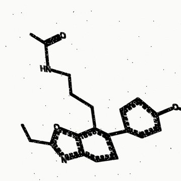 CCc1nc2ccc(-c3ccc(OC)cc3)c(CCCNC(C)=O)c2o1